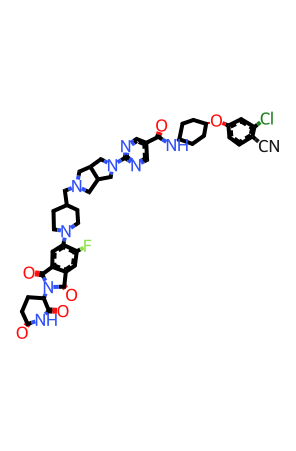 N#Cc1ccc(O[C@H]2CC[C@H](NC(=O)c3cnc(N4CC5CN(CC6CCN(c7cc8c(cc7F)C(=O)N(C7CCC(=O)NC7=O)C8=O)CC6)CC5C4)nc3)CC2)cc1Cl